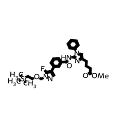 COC(=O)CCCc1cn(-c2ccccc2)c(NC(=O)c2cccc(-c3cnn(COCC[Si](C)(C)C)c3F)c2)n1